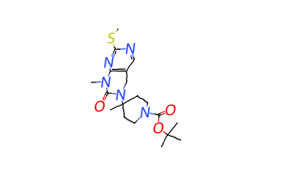 CSc1ncc2c(n1)N(C)C(=O)N(C1(C)CCN(C(=O)OC(C)(C)C)CC1)C2